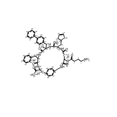 NCCCC(=O)N[C@@H]1CC(=O)N[C@H](CC2CC=CS2)C(=O)N[C@@H](Cc2ccc(-c3ccccc3)cc2)C(=O)N[C@H](Cc2ccccc2)C(=O)N[C@H](C(=O)O)Cc2ccc(cc2)NC1=O